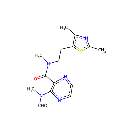 Cc1nc(C)c(CCN(C)C(=O)c2nccnc2N(C)C=O)s1